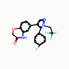 O=C1COc2ccc(-c3cnn(CC(F)(F)F)c3-c3ccc(F)cc3)cc2N1